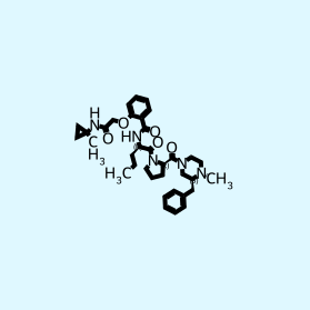 CCC[C@@H](NC(=O)c1ccccc1OCC(=O)NC1(C)CC1)C(=O)N1CCC[C@@H]1C(=O)N1CCN(C)[C@@H](Cc2ccccc2)C1